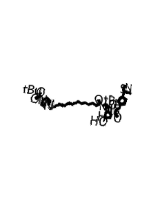 Cc1ncsc1-c1ccc(CNC(=O)[C@@H]2C[C@@H](O)CN2C(=O)[C@@H](NC(=O)CCCCCCCCCCCN2CCN(C(=O)OC(C)(C)C)CC2)C(C)(C)C)cc1